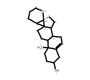 CC12CCC(O)CC1=CCC1C2CCC23C1CC[C@]21OCCCC31